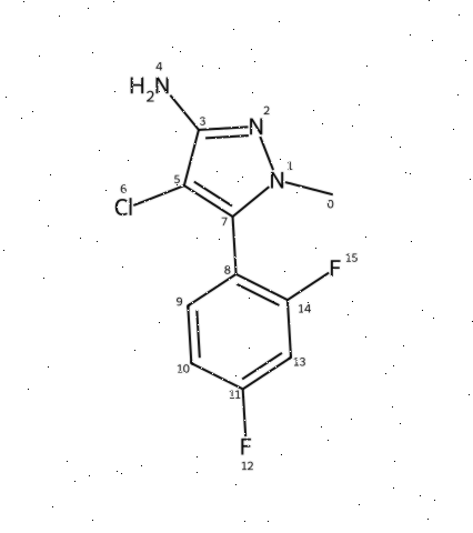 Cn1nc(N)c(Cl)c1-c1ccc(F)cc1F